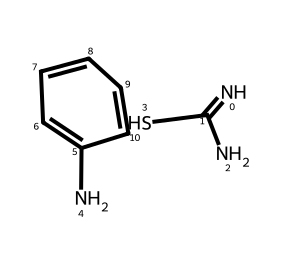 N=C(N)S.Nc1ccccc1